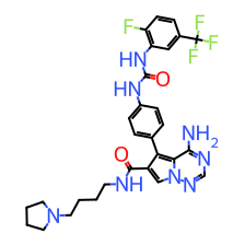 Nc1ncnn2cc(C(=O)NCCCCN3CCCC3)c(-c3ccc(NC(=O)Nc4cc(C(F)(F)F)ccc4F)cc3)c12